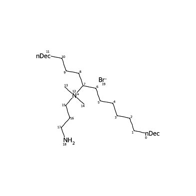 CCCCCCCCCCCCCCCCC(CCCCCCCCCCCCC)[N+](C)(C)CCCN.[Br-]